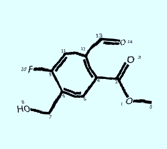 COC(=O)c1cc(CO)c(F)cc1C=O